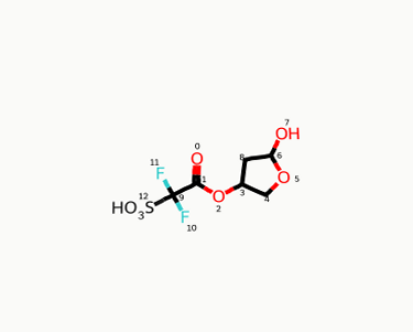 O=C(OC1COC(O)C1)C(F)(F)S(=O)(=O)O